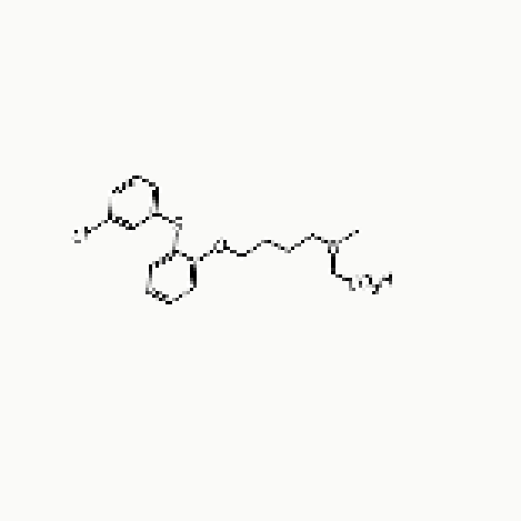 CN(CCCCOc1ccccc1Sc1cccc(Cl)c1)CC(=O)O